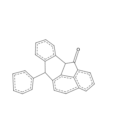 O=C1c2cccc3ccc4c(c23)C1c1ccccc1C4c1ccccc1